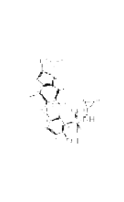 CCOC(=O)c1cc2c(Cl)c(Oc3ccc(O)c(S(=O)(=O)NC4CC4)c3)c(C)cc2[nH]1